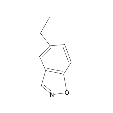 CCc1ccc2oncc2c1